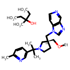 CCOC[C@@]1(Cn2cnc3cnccc32)CCN(C(C)(C)c2ccc(C)nc2)C1.O=C(O)CC(O)(CC(=O)O)C(=O)O